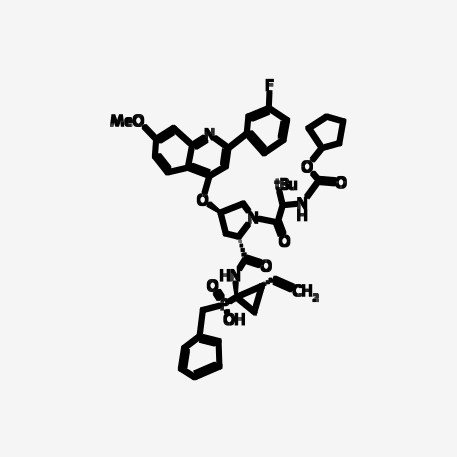 C=C[C@@H]1C[C@]1(NC(=O)[C@@H]1C[C@@H](Oc2cc(-c3cccc(F)c3)nc3cc(OC)ccc23)CN1C(=O)C(NC(=O)OC1CCCC1)C(C)(C)C)P(=O)(O)Cc1ccccc1